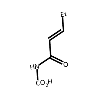 CCC=CC(=O)NC(=O)O